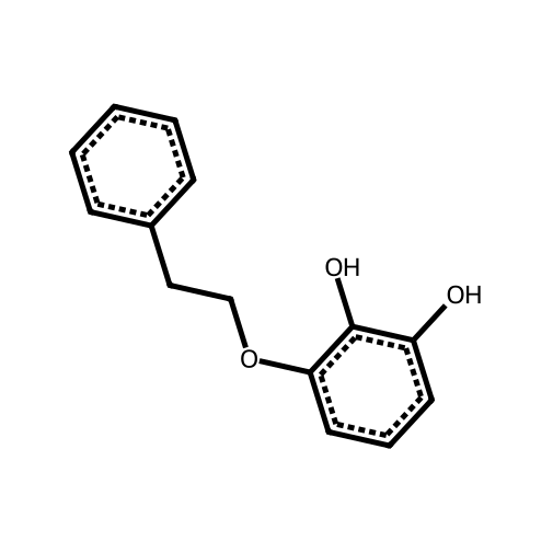 Oc1cccc(OCCc2ccccc2)c1O